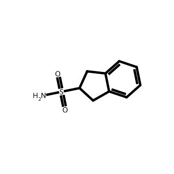 NS(=O)(=O)C1Cc2ccccc2C1